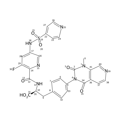 Cn1c(=O)n(-c2ccc(C[C@H](NC(=O)c3ncc(NS(=O)(=O)c4ccncc4)cc3F)C(=O)O)cc2)c(=O)c2ccncc21